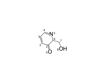 O=C1C=CC=NC1CO